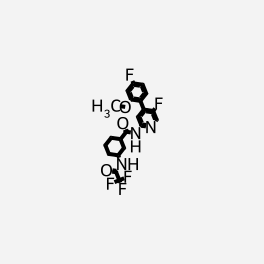 COc1cc(F)ccc1-c1cc(NC(=O)C2CCCC(NC(=O)C(F)(F)F)C2)ncc1F